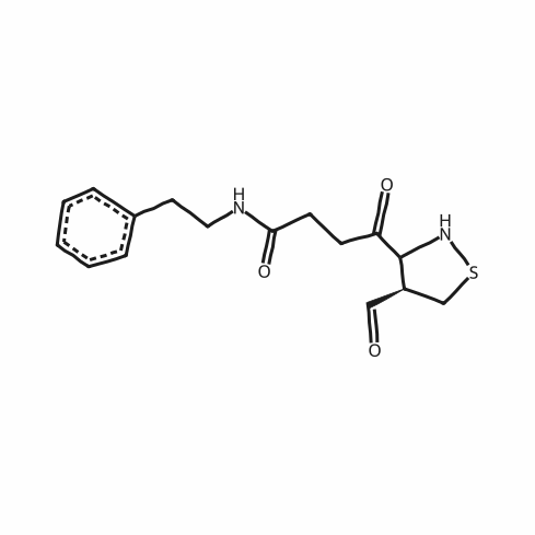 O=C[C@@H]1CSNC1C(=O)CCC(=O)NCCc1ccccc1